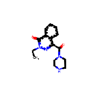 CCn1nc(C(=O)N2CCNCC2)c2ccccc2c1=O